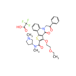 CCOCCOc1c(C(=O)N(C)C2CCN(C)C2)sc2c1c(=O)n(CC(=O)c1ccccc1)c1ccccc21.O=C(O)C(F)(F)F